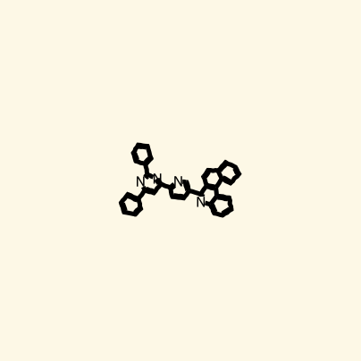 c1ccc(-c2cc(-c3ccc(-c4nc5ccccc5c5c4ccc4ccccc45)cn3)nc(-c3ccccc3)n2)cc1